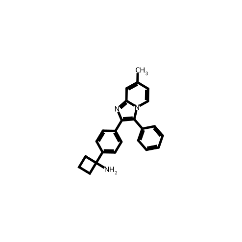 Cc1ccn2c(-c3ccccc3)c(-c3ccc(C4(N)CCC4)cc3)nc2c1